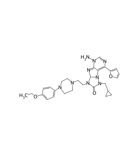 CCOc1ccc(N2CCN(CCN3C(=O)N(CC4CC4)N4C5=C(c6ccco6)N=CN(N)C5=NC34)CC2)cc1